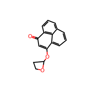 O=C1C=C(OC2CCO2)c2cccc3cccc1c23